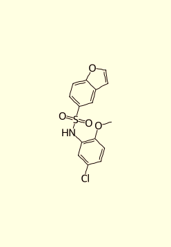 COc1ccc(Cl)cc1NS(=O)(=O)c1ccc2occc2c1